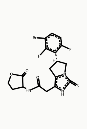 O=C(Cc1[nH]c(=S)n2c1C[C@H](c1c(F)ccc(Br)c1F)C2)NC1CCOC1=O